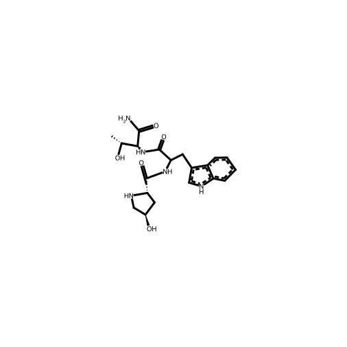 C[C@@H](O)[C@H](NC(=O)C(Cc1c[nH]c2ccccc12)NC(=O)[C@@H]1C[C@@H](O)CN1)C(N)=O